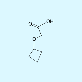 O=C(O)COC1CCC1